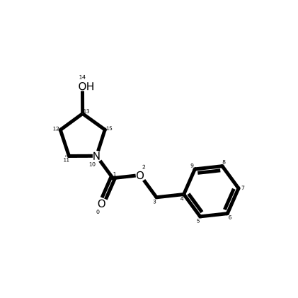 O=C(OCc1ccccc1)N1[CH]CC(O)C1